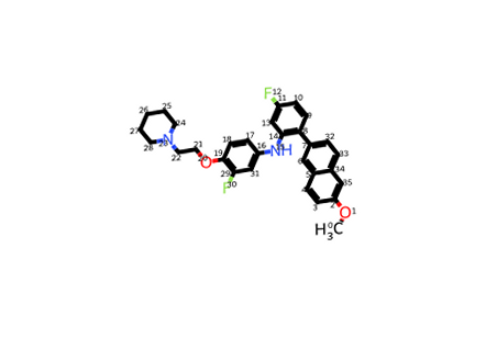 COc1ccc2cc(-c3ccc(F)cc3Nc3ccc(OCCN4CCCCC4)c(F)c3)ccc2c1